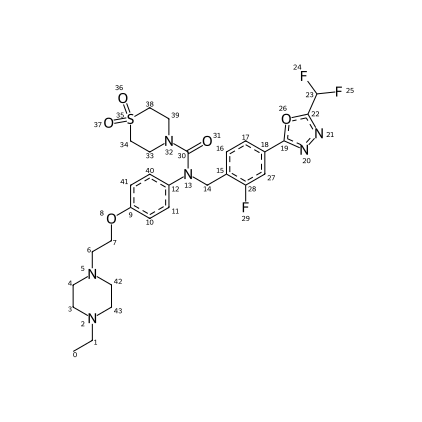 CCN1CCN(CCOc2ccc(N(Cc3ccc(-c4nnc(C(F)F)o4)cc3F)C(=O)N3CCS(=O)(=O)CC3)cc2)CC1